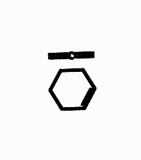 C1=CCCCC1.C=C=C